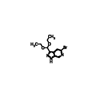 CCOC(OCC)c1n[nH]c2cnc(Br)cc12